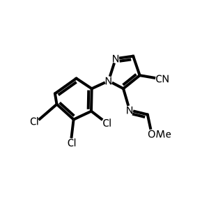 COC=Nc1c(C#N)cnn1-c1ccc(Cl)c(Cl)c1Cl